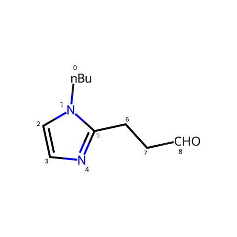 CCCCn1ccnc1CCC=O